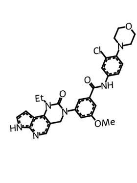 CCN1C(=O)N(c2cc(OC)cc(C(=O)Nc3ccc(N4CCOCC4)c(Cl)c3)c2)Cc2cnc3[nH]ccc3c21